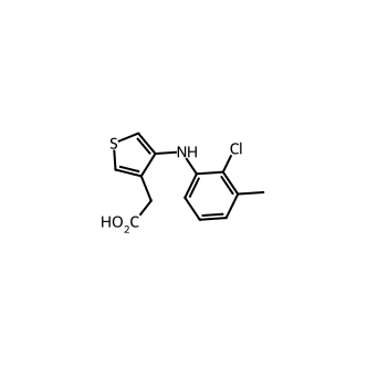 Cc1cccc(Nc2cscc2CC(=O)O)c1Cl